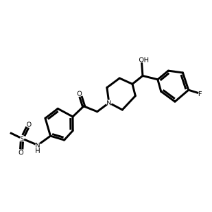 CS(=O)(=O)Nc1ccc(C(=O)CN2CCC(C(O)c3ccc(F)cc3)CC2)cc1